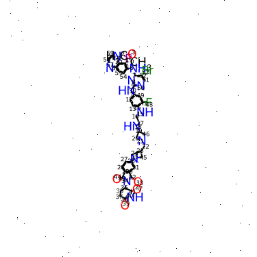 CP(C)(=O)c1c(Nc2nc(Nc3ccc(NCCNC4CN(CC5CN(c6ccc7c(c6)C(=O)N(C6CCC(=O)NC6=O)C7=O)C5)C4)c(F)c3)ncc2Br)ccc2nccnc12